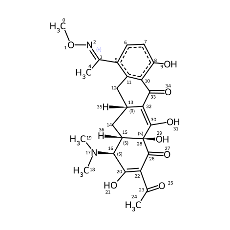 CO/N=C(\C)c1ccc(O)c2c1C[C@H]1C[C@H]3[C@H](N(C)C)C(O)=C(C(C)=O)C(=O)[C@@]3(O)C(O)=C1C2=O